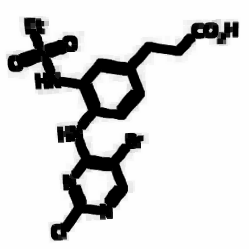 CCS(=O)(=O)Nc1cc(CCC(=O)O)ccc1Nc1nc(Cl)ncc1Br